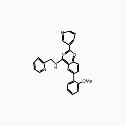 COc1ccccc1-c1ccc2nc(-c3cccnc3)nc(NCc3ccccn3)c2c1